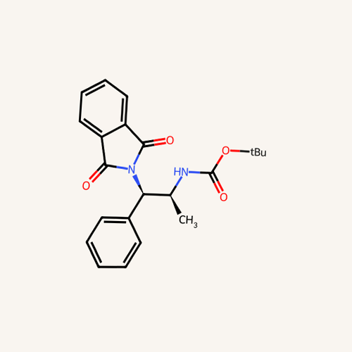 C[C@H](NC(=O)OC(C)(C)C)[C@@H](c1ccccc1)N1C(=O)c2ccccc2C1=O